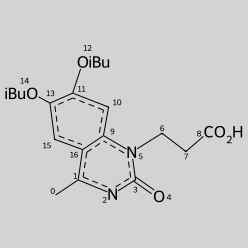 Cc1nc(=O)n(CCC(=O)O)c2cc(OCC(C)C)c(OCC(C)C)cc12